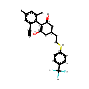 C#Cc1cc(C)cc(C)c1C1=C(O)CC(CCSc2ccc(C(F)(F)F)cc2)CC1=O